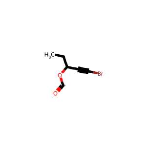 CCC(C#CBr)O[C]=O